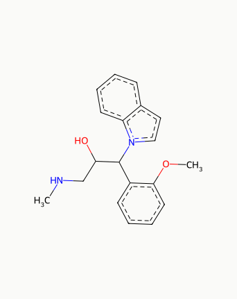 CNCC(O)C(c1ccccc1OC)n1ccc2ccccc21